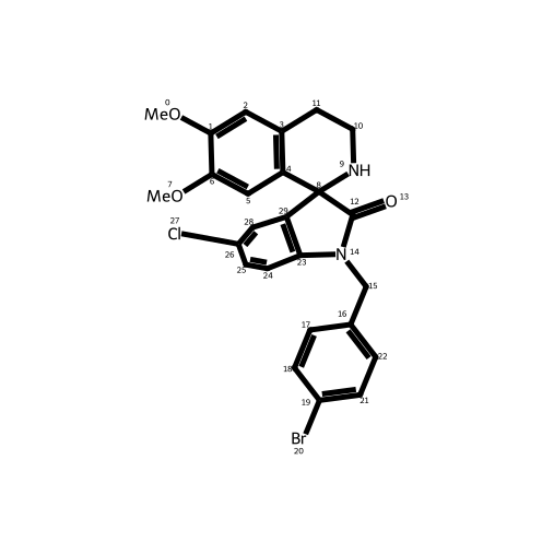 COc1cc2c(cc1OC)C1(NCC2)C(=O)N(Cc2ccc(Br)cc2)c2ccc(Cl)cc21